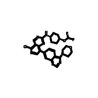 FC(F)O[C@H]1CC[C@H](Nc2ncc3c(Cl)ncc(-c4ccc5c(N6CCOCC6)ncnc5c4)c3n2)CC1